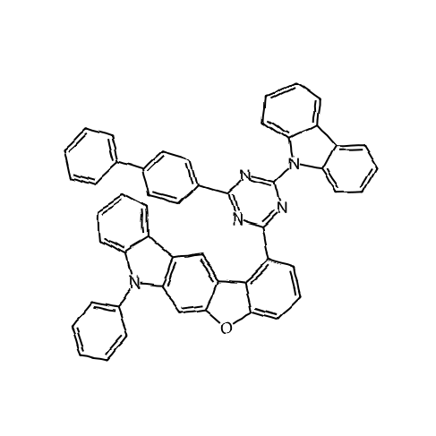 c1ccc(-c2ccc(-c3nc(-c4cccc5oc6cc7c(cc6c45)c4ccccc4n7-c4ccccc4)nc(-n4c5ccccc5c5ccccc54)n3)cc2)cc1